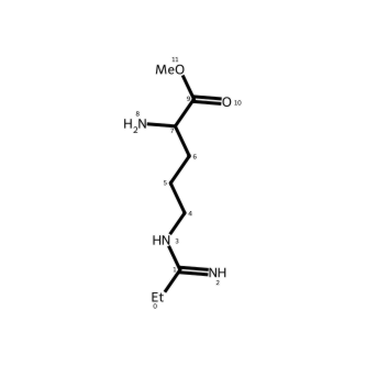 CCC(=N)NCCCC(N)C(=O)OC